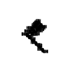 CCCCC(=O)O.O=C(O)CCC(=O)O.O=C(O)CCCC(=O)O.OCCNCCO.OCCNCCO.OCCNCCO.OCCNCCO.OCCNCCO.OCCNCCO